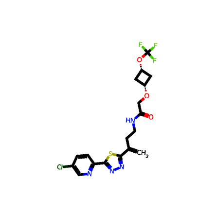 C=C(CCNC(=O)CO[C@H]1C[C@@H](OC(F)(F)F)C1)c1nnc(-c2ccc(Cl)cn2)s1